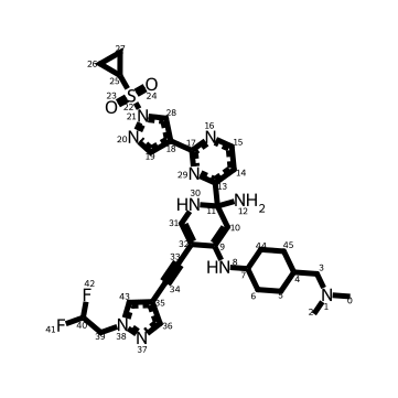 CN(C)CC1CCC(NC2=CC(N)(c3ccnc(-c4cnn(S(=O)(=O)C5CC5)c4)n3)NC=C2C#Cc2cnn(CC(F)F)c2)CC1